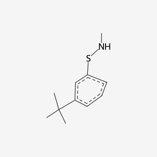 CNSc1cccc(C(C)(C)C)c1